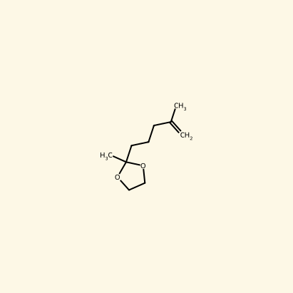 C=C(C)CCCC1(C)OCCO1